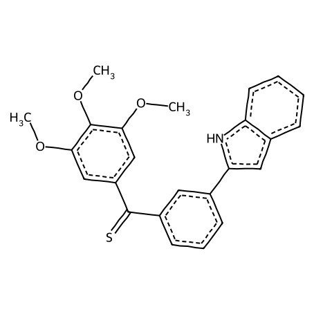 COc1cc(C(=S)c2cccc(-c3cc4ccccc4[nH]3)c2)cc(OC)c1OC